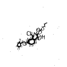 CCCCOC(=O)Oc1nc(Cl)c2cc(OCc3ccccc3)ccc2c1O